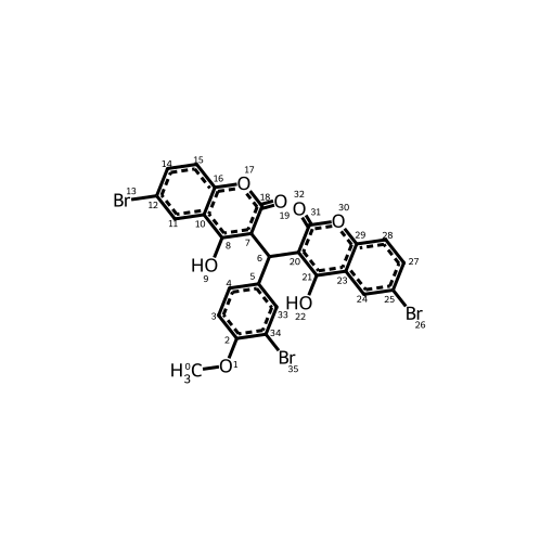 COc1ccc(C(c2c(O)c3cc(Br)ccc3oc2=O)c2c(O)c3cc(Br)ccc3oc2=O)cc1Br